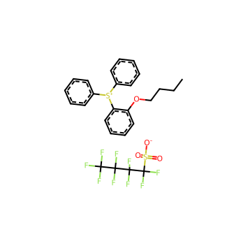 CCCCOc1ccccc1[S+](c1ccccc1)c1ccccc1.O=S(=O)([O-])C(F)(F)C(F)(F)C(F)(F)C(F)(F)F